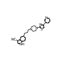 N#Cc1c[nH]c2ccc(CCCN3CCN(c4nc(-c5cccnc5)cs4)CC3)cc12